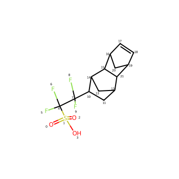 O=S(=O)(O)C(F)(F)C(F)(F)C1CC2CC1C1C3C=CC(C3)C21